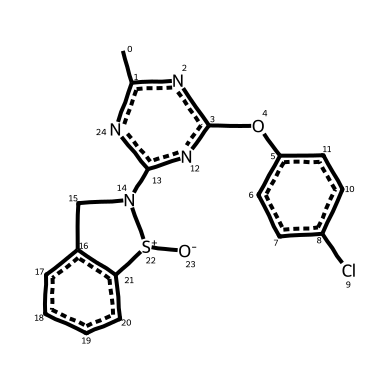 Cc1nc(Oc2ccc(Cl)cc2)nc(N2Cc3ccccc3[S+]2[O-])n1